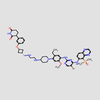 CCc1cc(Nc2ncc(Br)c(Nc3ccc4nccnc4c3P(C)(C)=O)n2)c(OC)cc1N1CCC(NCCNC[C@H]2C[C@H](Oc3cccc(C4CCC(=O)NC4=O)c3)C2)CC1